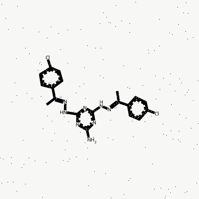 C/C(=N\Nc1nc(N)nc(N/N=C(\C)c2ccc(Cl)cc2)n1)c1ccc(Cl)cc1